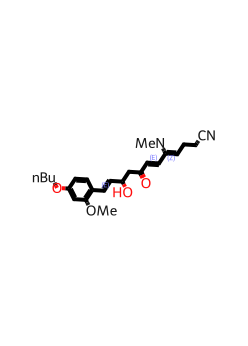 CCCCOc1ccc(/C=C/C(O)CC(=O)/C=C/C(=C/CCC#N)NC)c(OC)c1